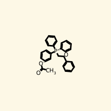 CC(=O)[O-].O=C(C[P+](c1ccccc1)(c1ccccc1)c1ccccc1)c1ccccc1